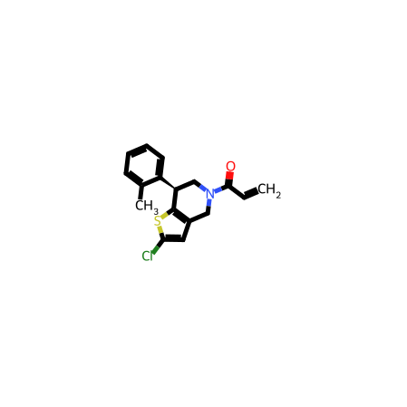 C=CC(=O)N1Cc2cc(Cl)sc2[C@@H](c2ccccc2C)C1